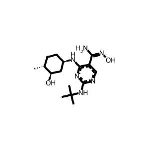 C[C@@H]1CC[C@@H](Nc2nc(NC(C)(C)C)ncc2/C(N)=N\O)C[C@H]1O